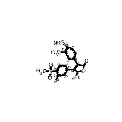 CCC1OC(=O)C(c2ccc(SC)c(C)c2)=C1c1ccc(S(C)(=O)=O)c(F)c1